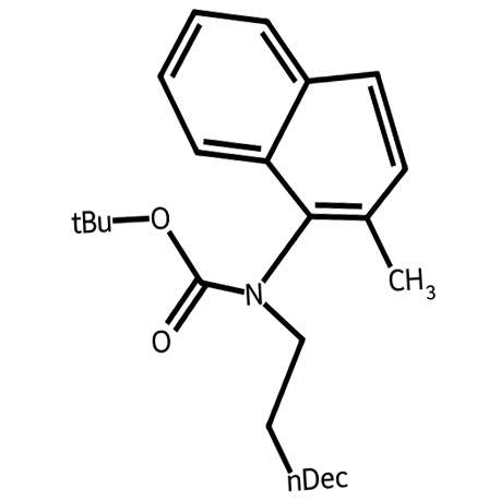 CCCCCCCCCCCCN(C(=O)OC(C)(C)C)c1c(C)ccc2ccccc12